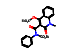 CCOC(=O)Oc1c(C(=O)N(C(=O)OCC)c2ccccc2)c(=O)n(C)c2ccccc12